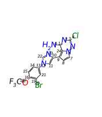 Nc1nc(Cl)nn2ccc(-c3cn(-c4ccc(OC(F)(F)F)c(Br)c4)cn3)c12